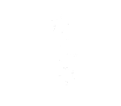 OC(CCc1ccsc1)Cn1ccnc1